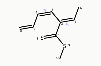 C=C/C=C\C(=C/C)C(=S)SC